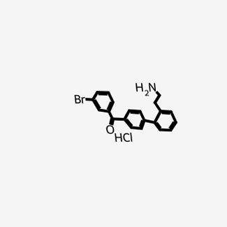 Cl.NCCc1ccccc1-c1ccc(C(=O)c2cccc(Br)c2)cc1